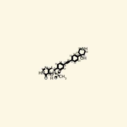 CS(=O)(=O)N[C@H](Cc1nc[nH]c(=O)c1O)c1ccc(C#Cc2ccc(C3(O)CCNCC3)cc2)cc1